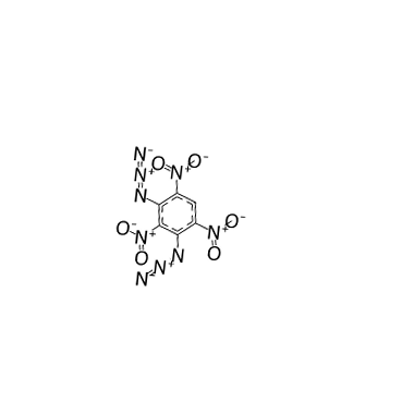 [N-]=[N+]=Nc1c([N+](=O)[O-])cc([N+](=O)[O-])c(N=[N+]=[N-])c1[N+](=O)[O-]